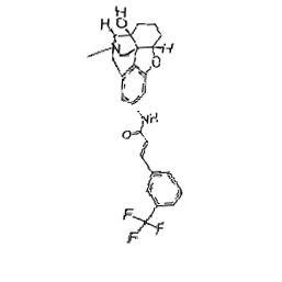 CN1CC[C@]23c4c5cccc4O[C@H]2CCC[C@@]3(O)[C@H]1C5.CNC(=O)/C=C/c1cccc(C(F)(F)F)c1